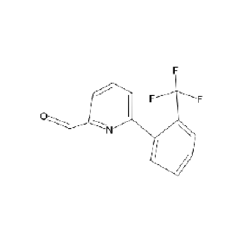 O=Cc1cccc(-c2ccccc2C(F)(F)F)n1